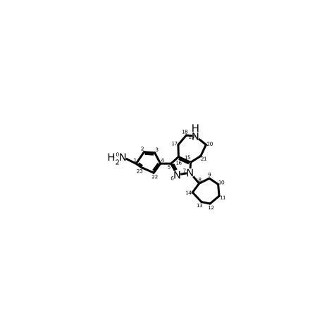 Nc1ccc(-c2nn(C3CCCCCC3)c3c2CCNCC3)cc1